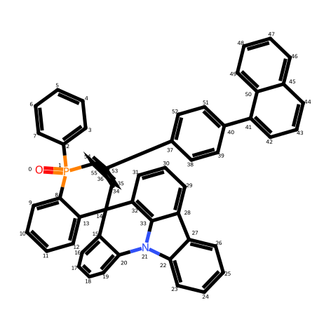 O=P1(c2ccccc2)c2ccccc2C2(c3ccccc3-n3c4ccccc4c4cccc2c43)c2cc(-c3ccc(-c4cccc5ccccc45)cc3)ccc21